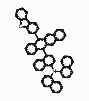 c1ccc2cc3c(-c4ccc(N(c5cccc6ccccc56)c5cccc6ccccc56)c5ccccc45)c4ccccc4c(-c4ccc5c(c4)oc4ccccc45)c3cc2c1